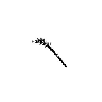 CCCCCCCCCCCCCCCCCCCCCC(=O)Nc1ccn(C2O[C@H](CO)[C@@H](O)[C@@H]2O)c(=O)n1